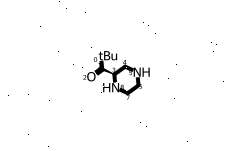 CC(C)(C)C(=O)[C@H]1CNCCN1